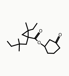 CCC(C)(C)CC1(C(=O)OC2CCCC(=O)C2)CC1(C)CC